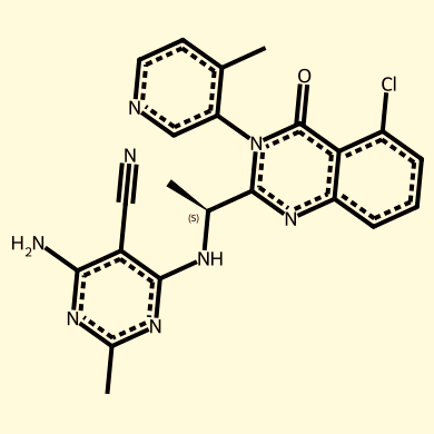 Cc1nc(N)c(C#N)c(N[C@@H](C)c2nc3cccc(Cl)c3c(=O)n2-c2cnccc2C)n1